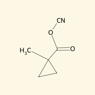 CC1(C(=O)OC#N)CC1